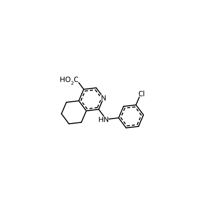 O=C(O)c1cnc(Nc2cccc(Cl)c2)c2c1CCCC2